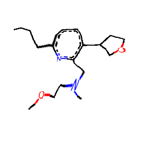 CCCc1ccc(C2CCOC2)c(CN(C)CCOC)n1